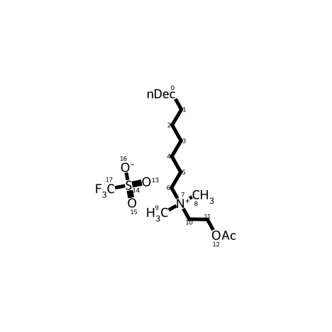 CCCCCCCCCCCCCCCC[N+](C)(C)CCOC(C)=O.O=S(=O)([O-])C(F)(F)F